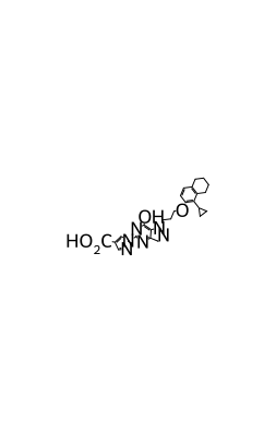 O=C(O)c1cnn(-c2nc(O)c3c(cnn3CCCOc3ccc4c(c3C3CC3)CCCC4)n2)c1